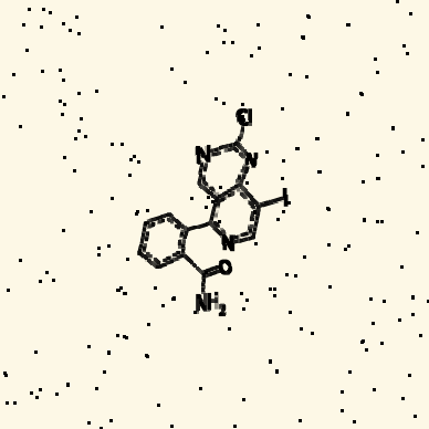 NC(=O)c1ccccc1-c1ncc(I)c2nc(Cl)ncc12